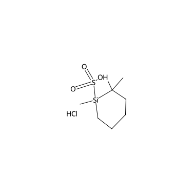 CC1(C)CCCC[Si]1(C)S(=O)(=O)O.Cl